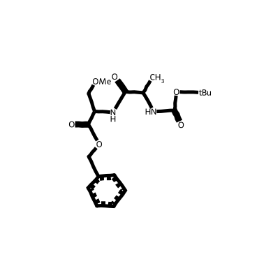 COCC(NC(=O)C(C)NC(=O)OC(C)(C)C)C(=O)OCc1ccccc1